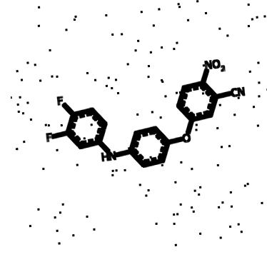 N#Cc1cc(Oc2ccc(Nc3ccc(F)c(F)c3)cc2)ccc1[N+](=O)[O-]